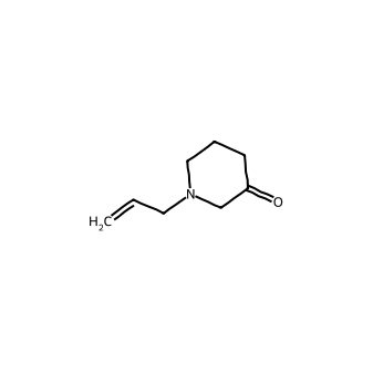 C=CCN1CCCC(=O)C1